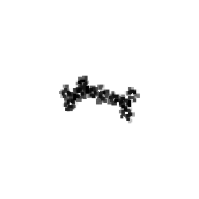 Cc1ccc(-c2nc(-c3ccccc3)cc(-c3ccc(-c4cc(C)c(-c5ccc(-n6c7ccccc7c7cc(-n8c9ccccc9c9ccccc98)ccc76)cc5)c(C)c4)cc3)n2)cc1